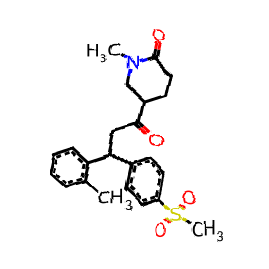 Cc1ccccc1C(CC(=O)C1CCC(=O)N(C)C1)c1ccc(S(C)(=O)=O)cc1